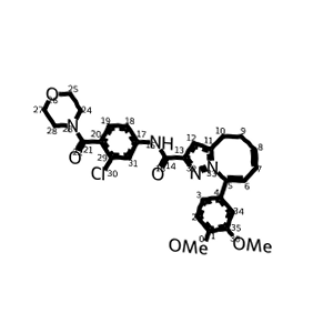 COc1ccc(/C2=C/C=C\CCc3cc(C(=O)Nc4ccc(C(=O)N5CCOCC5)c(Cl)c4)nn32)cc1OC